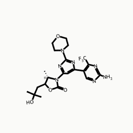 C[C@H]1C(CC(C)(C)O)OC(=O)N1c1cc(-c2cnc(N)nc2C(F)(F)F)nc(N2CCOCC2)n1